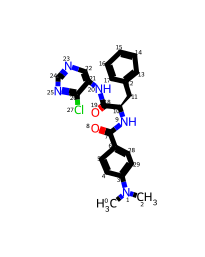 CN(C)c1ccc(C(=O)N[C@H](Cc2ccccc2)C(=O)Nc2cncnc2Cl)cc1